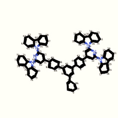 c1ccc(-c2cc(-c3ccc(-c4cc(-n5c6ccccc6c6ccccc65)nc(-n5c6ccccc6c6ccccc65)c4)cc3)cc(-c3ccc(-c4cc(-n5c6ccccc6c6ccccc65)nc(-n5c6ccccc6c6ccccc65)c4)cc3)c2)cc1